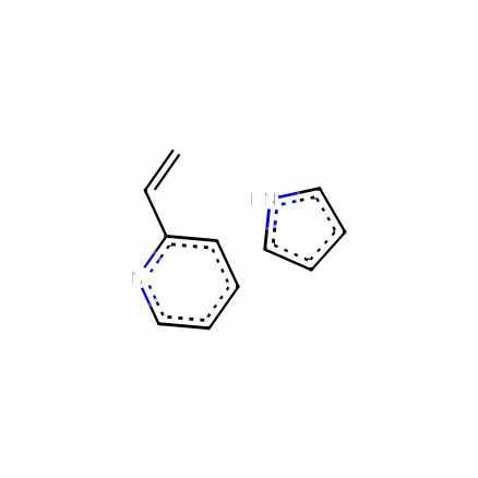 C=Cc1ccccn1.c1cc[nH]c1